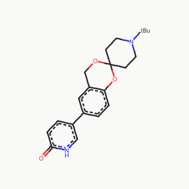 CC(C)(C)N1CCC2(CC1)OCc1cc(-c3ccc(=O)[nH]c3)ccc1O2